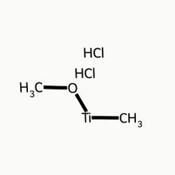 C[O][Ti][CH3].Cl.Cl